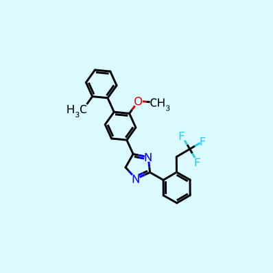 COc1cc(C2=NC(c3ccccc3CC(F)(F)F)=NC2)ccc1-c1ccccc1C